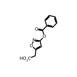 O=C(O)Cc1cc(OC(=O)c2ccccc2)no1